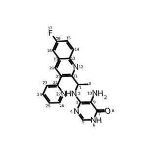 CC(Nc1nc[nH]c(=O)c1N)c1nc2ccc(F)cc2cc1-c1ccccn1